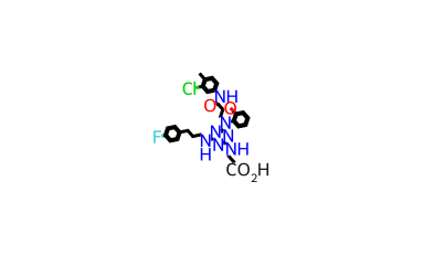 Cc1ccc(NC(=O)C2CN(c3nc(NCCCc4ccc(F)cc4)nc(NCCC(=O)O)n3)c3ccccc3O2)cc1Cl